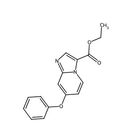 CCOC(=O)c1cnc2cc(Oc3ccccc3)ccn12